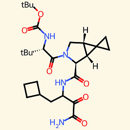 CC(C)(C)OC(=O)N[C@H](C(=O)N1C[C@H]2[C@@H]([C@H]1C(=O)NC(CC1CCC1)C(=O)C(N)=O)C21CC1)C(C)(C)C